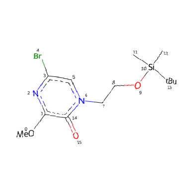 COc1nc(Br)cn(CCO[Si](C)(C)C(C)(C)C)c1=O